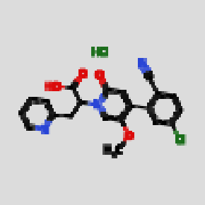 COc1cn(C(Cc2ccccn2)C(=O)O)c(=O)cc1-c1cc(Cl)ccc1C#N.Cl